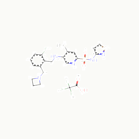 Cc1cc(S(=O)(=O)Nc2ccsn2)ncc1NCc1c(F)cccc1CN1CCC1.O=C(O)C(F)(F)F